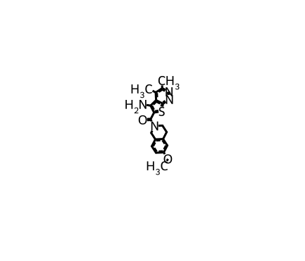 COc1ccc2c(c1)CCN(C(=O)c1sc3nnc(C)c(C)c3c1N)C2